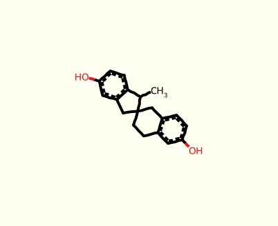 CC1c2ccc(O)cc2CC12CCc1cc(O)ccc1C2